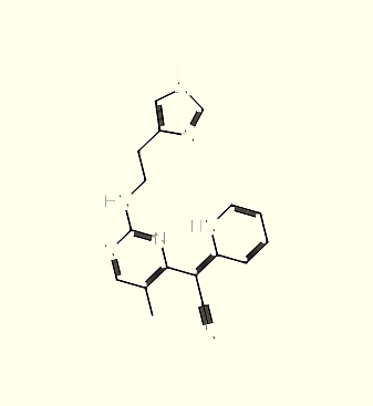 Cc1cnc(NCCc2c[nH]cn2)nc1C(C#N)=C1C=CC=CN1